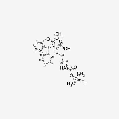 COC(=O)N(C1c2ccccc2-c2ccccc21)[C@@H](CCCC[AsH]C(=O)OC(C)(C)C)C(=O)O